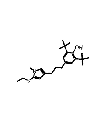 CCSc1cc(CCCc2cc(C(C)(C)C)c(O)c(C(C)(C)C)c2)cn1C